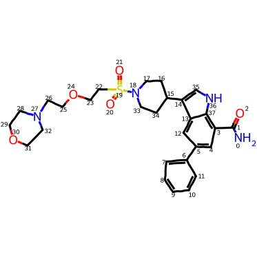 NC(=O)c1cc(-c2ccccc2)cc2c(C3CCN(S(=O)(=O)CCOCCN4CCOCC4)CC3)c[nH]c12